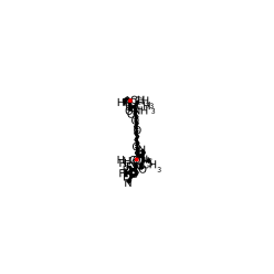 COc1cc(OCCCCOCCOCC(=O)NC(C(=O)N2CCCC2C)C(C)(C)C)ncc1N(C=S)C(C)(C)C(=O)N(C)c1ccc(C#N)c(C(F)(F)F)c1F